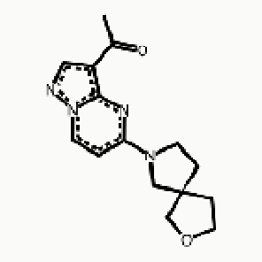 CC(=O)c1cnn2ccc(N3CC[C@]4(CCOC4)C3)nc12